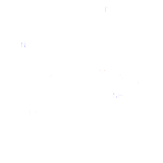 O=S(=O)(Nc1cc(Sc2cccc3cccnc23)c(O)c2ccccc12)c1cccc(F)c1